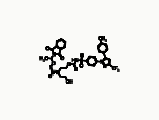 Cc1ccc(-c2cc(C(F)(F)F)nn2-c2ccc(S(=O)(=O)NC(=O)OCCN(CCO)/[N+]([O-])=N\OC(C)N3C(=O)c4ccccc4C3=O)cc2)cc1